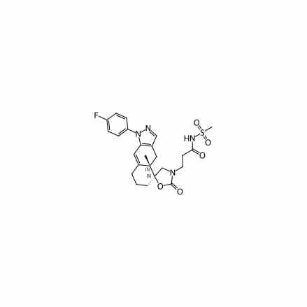 C[C@]12Cc3cnn(-c4ccc(F)cc4)c3C=C1CCC[C@@]21CN(CCC(=O)NS(C)(=O)=O)C(=O)O1